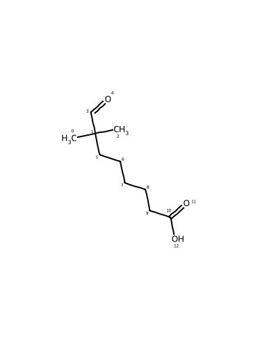 CC(C)(C=O)CCCCCC(=O)O